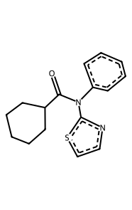 O=C(C1CCCCC1)N(c1ccccc1)c1nccs1